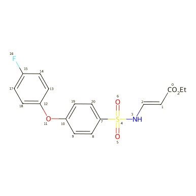 CCOC(=O)C=CNS(=O)(=O)c1ccc(Oc2ccc(F)cc2)cc1